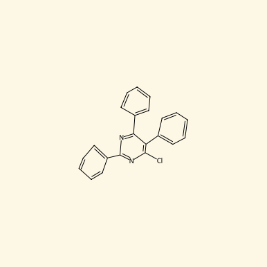 Clc1nc(-c2ccccc2)nc(-c2ccccc2)c1-c1ccccc1